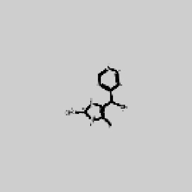 CC1=C(C(O)c2ccncc2)NC(C=O)N1